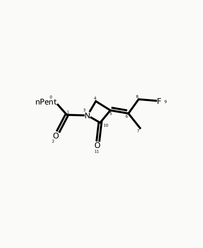 CCCCCC(=O)N1C/C(=C(/C)CF)C1=O